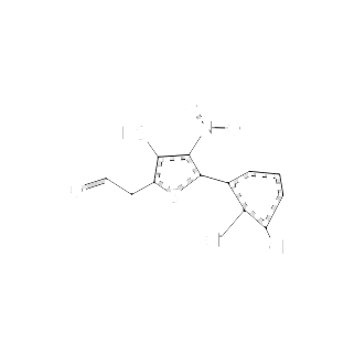 O=CCc1sc(-c2cccc(Cl)c2Cl)c([N+](=O)[O-])c1S